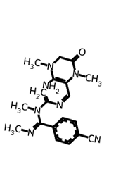 C=C(/N=C\C1=C(N)N(C)CC(=O)N1C)N(C)/C(=N\C)c1ccc(C#N)cc1